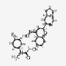 CN(C(=O)COc1ccc2oc(-c3cc4cccn4cn3)c/c(=N/O)c2c1)c1ccc(F)cc1